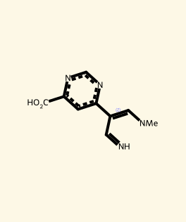 CN/C=C(\C=N)c1cc(C(=O)O)ncn1